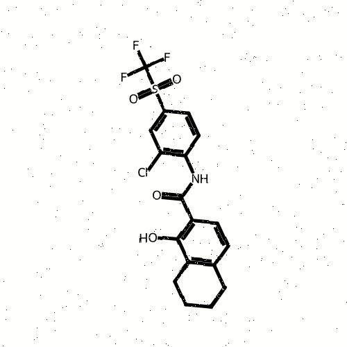 O=C(Nc1ccc(S(=O)(=O)C(F)(F)F)cc1Cl)c1ccc2c(c1O)CCCC2